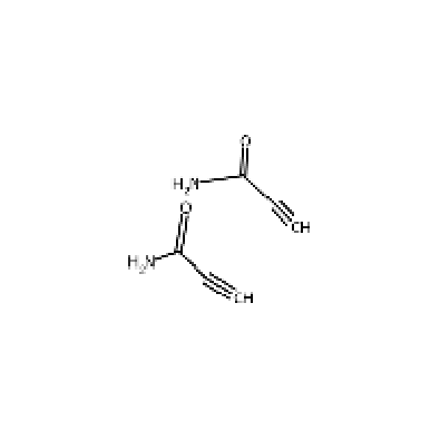 C#CC(N)=O.C#CC(N)=O